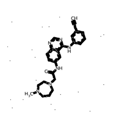 C#Cc1cccc(Nc2ncnc3ccc(NC(=O)CN4CCCN(C)CC4)cc23)c1